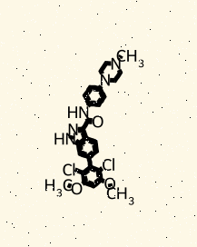 COc1cc(OC)c(Cl)c(-c2ccc3c(C(=O)Nc4ccc(N5CCN(C)CC5)cc4)n[nH]c3c2)c1Cl